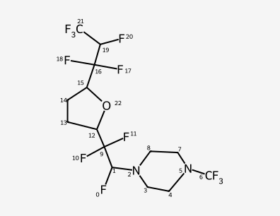 FC(N1CCN(C(F)(F)F)CC1)C(F)(F)C1CCC(C(F)(F)C(F)C(F)(F)F)O1